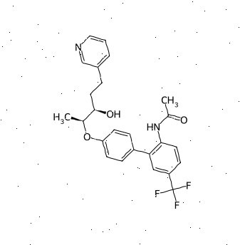 CC(=O)Nc1ccc(C(F)(F)F)cc1-c1ccc(O[C@@H](C)[C@H](O)CCc2cccnc2)cc1